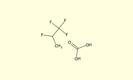 CC(F)C(F)(F)F.O=C(O)O